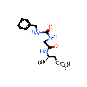 [2H]N(CC(=O)N[C@H]([C]=O)CC(=O)O)C(=O)NCc1ccccc1